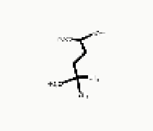 CCCCCCCCC(CCCCCCCC)CCC(C)(C)C(=O)O